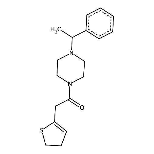 CC(c1ccccc1)N1CCN(C(=O)CC2=CCCS2)CC1